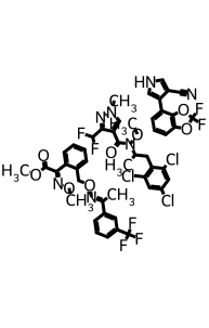 CO/N=C(/C(=O)OC)c1ccccc1CO/N=C(\C)c1cccc(C(F)(F)F)c1.CON(C(=O)c1cn(C)nc1C(F)F)C(C)Cc1c(Cl)cc(Cl)cc1Cl.N#Cc1c[nH]cc1-c1cccc2c1OC(F)(F)O2